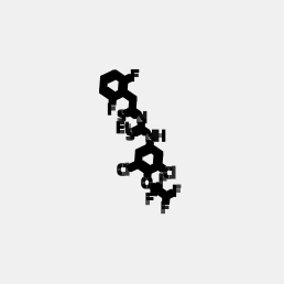 CCSC(Cc1c(F)cccc1F)=NC(=S)Nc1cc(Cl)c(OC(F)(F)C(F)F)c(Cl)c1